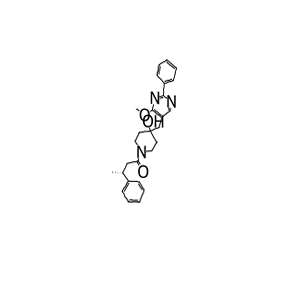 COc1nc(-c2ccccc2)ncc1CC1(O)CCN(C(=O)C[C@@H](C)c2ccccc2)CC1